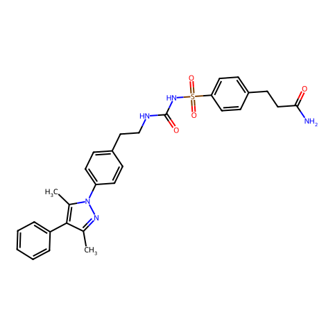 Cc1nn(-c2ccc(CCNC(=O)NS(=O)(=O)c3ccc(CCC(N)=O)cc3)cc2)c(C)c1-c1ccccc1